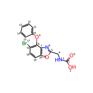 O=C(O)NCc1nc2c(Oc3ccccc3)c(Br)ccc2o1